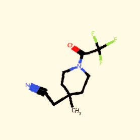 CC1(CC#N)CCN(C(=O)C(F)(F)F)CC1